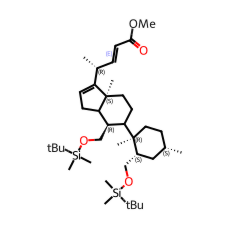 COC(=O)/C=C/[C@@H](C)C1=CCC2[C@H](CO[Si](C)(C)C(C)(C)C)C([C@@]3(C)CC[C@H](C)C[C@@H]3CO[Si](C)(C)C(C)(C)C)CC[C@]12C